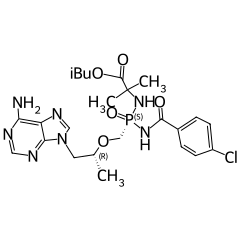 CC(C)COC(=O)C(C)(C)N[P@@](=O)(CO[C@H](C)Cn1cnc2c(N)ncnc21)NC(=O)c1ccc(Cl)cc1